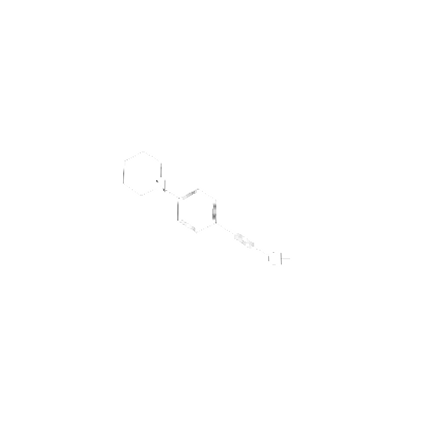 CC#Cc1ccc(N2CCCCC2)cc1